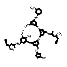 C#C/C=C(\C=C(/C)N=Nc1cc2c(O)c(c1)Cc1cc(N=NC3=CC([N+](=O)[O-])=CC3)cc(c1O)Cc1cc(N=N/C(C)=C/C(=C\C#C)[N+](=O)[O-])cc(c1O)Cc1cc(N=Nc3cccc([N+](=O)[O-])c3)cc(c1O)CCCCC2)[N+](=O)[O-]